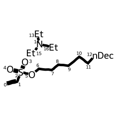 C=CS(=O)(=O)OCCCCCCCCCCCCCCCC.CCN(CC)CC